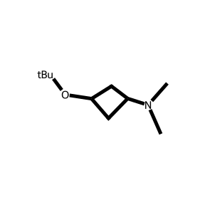 CN(C)C1CC(OC(C)(C)C)C1